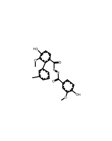 COc1cc(C(=O)N=NC(=O)c2ccc(O)c(OC)c2-c2cccc(C)c2)ccc1O